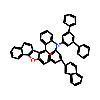 c1ccc(-c2cc(-c3ccccc3)cc(N(c3cccc(-c4ccc5ccccc5c4)c3)c3ccccc3-c3cccc4oc5c6ccccc6ccc5c34)c2)cc1